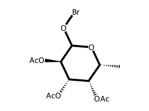 CC(=O)O[C@@H]1[C@H](OC(C)=O)[C@@H](OC(C)=O)C(OBr)O[C@@H]1C